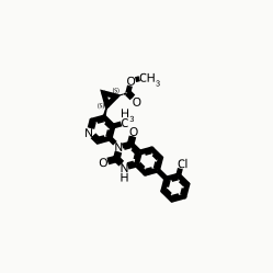 COC(=O)[C@H]1C[C@@H]1c1cncc(-n2c(=O)[nH]c3cc(-c4ccccc4Cl)ccc3c2=O)c1C